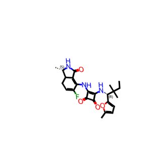 CCC(C)(C)[C@@H](Nc1c(NC2=C3C(=O)N[C@@H](C)C3CC=C2F)c(=O)c1=O)c1ccc(C)o1